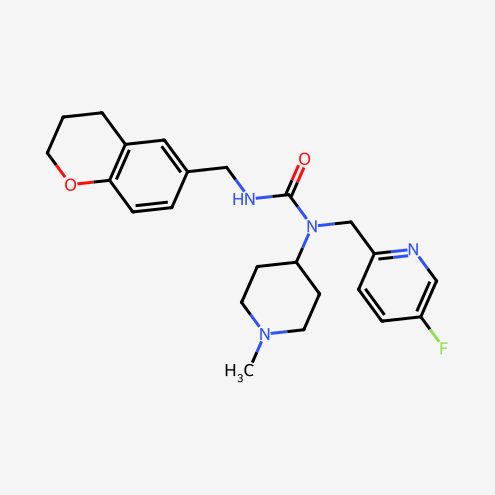 CN1CCC(N(Cc2ccc(F)cn2)C(=O)NCc2ccc3c(c2)CCCO3)CC1